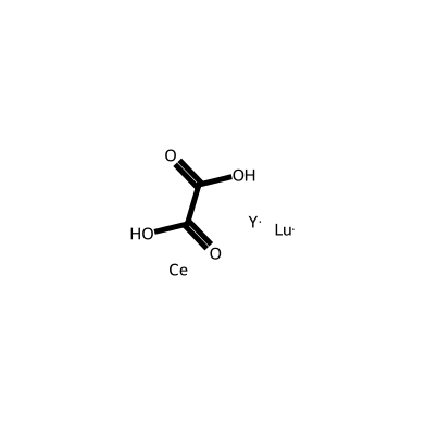 O=C(O)C(=O)O.[Ce].[Lu].[Y]